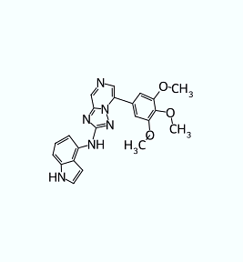 COc1cc(-c2cncc3nc(Nc4cccc5[nH]ccc45)nn23)cc(OC)c1OC